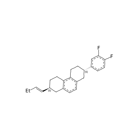 CCC=C[C@H]1CCc2c(ccc3c2CC[C@H](c2ccc(F)c(F)c2)C3)C1